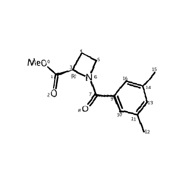 COC(=O)[C@H]1CCN1C(=O)c1cc(C)cc(C)c1